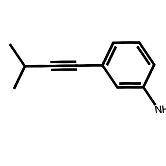 CC(C)C#Cc1cccc(N)c1